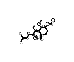 COC1C(OC=O)CC[C@]2(CO2)C1[C@H](C)[C@H](O)CCC(C)C